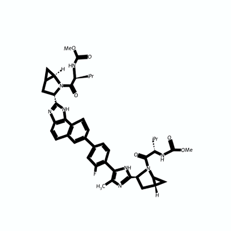 COC(=O)N[C@H](C(=O)N1C2C[C@@H]2C[C@H]1c1nc(C)c(-c2ccc(-c3ccc4c(ccc5nc([C@@H]6CC7C[C@H]7N6C(=O)[C@@H](NC(=O)OC)C(C)C)[nH]c54)c3)cc2F)[nH]1)C(C)C